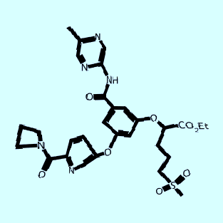 CCOC(=O)C(CCCS(C)(=O)=O)Oc1cc(Oc2ccc(C(=O)N3CCC3)nc2)cc(C(=O)Nc2cnc(C)cn2)c1